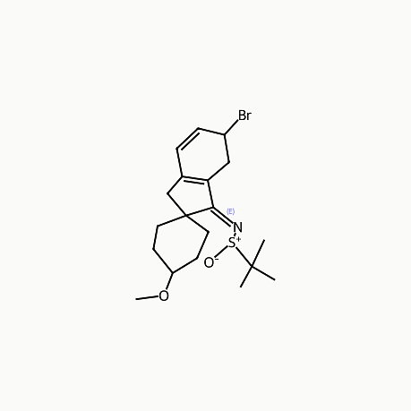 COC1CCC2(CC1)CC1=C(CC(Br)C=C1)/C2=N/[S+]([O-])C(C)(C)C